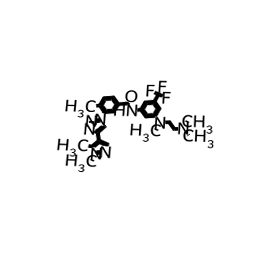 Cc1ccc(C(=O)Nc2cc(N(C)CCN(C)C)cc(C(F)(F)F)c2)cc1-n1cc(-c2cnn(C)c2C)nn1